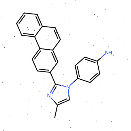 Cc1cn(-c2ccc(N)cc2)c(-c2ccc3c(ccc4ccccc43)c2)n1